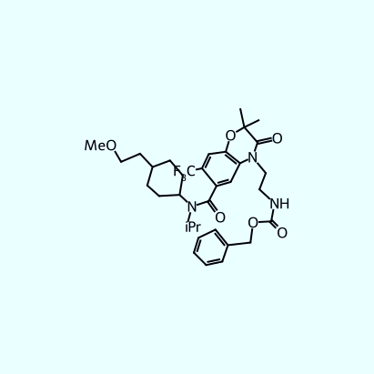 COCCC1CCC(N(C(=O)c2cc3c(cc2C(F)(F)F)OC(C)(C)C(=O)N3CCNC(=O)OCc2ccccc2)C(C)C)CC1